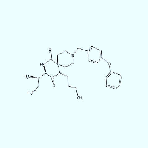 CCCCN1C(=O)[C@@H]([C@H](C)CC)NC(=O)C12CCN(Cc1ccc(Oc3ccccc3)cc1)CC2